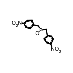 O=[N+]([O-])c1ccc(C[P](=O)Cc2ccc([N+](=O)[O-])cc2)cc1